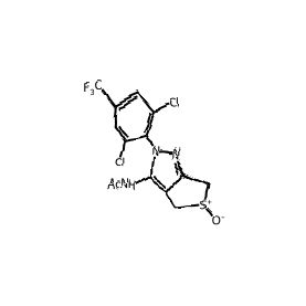 CC(=O)Nc1c2c(nn1-c1c(Cl)cc(C(F)(F)F)cc1Cl)C[S+]([O-])C2